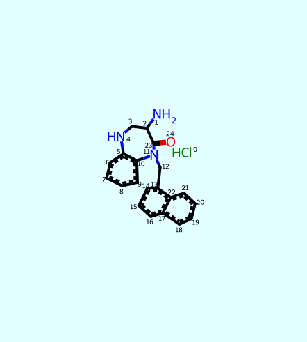 Cl.NC1CNc2ccccc2N(Cc2cccc3ccccc23)C1=O